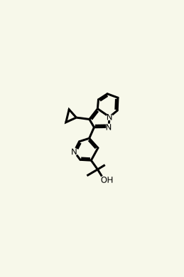 CC(C)(O)c1cncc(-c2nn3ccccc3c2C2CC2)c1